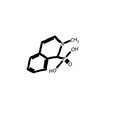 CN1C=Cc2ccccc2C1P(=O)(O)O